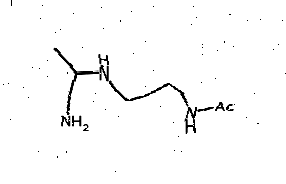 CC(=O)NCCNC(C)N